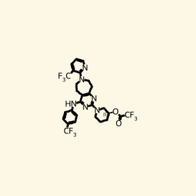 O=C(O[C@H]1CCCN(c2nc3c(c(Nc4ccc(C(F)(F)F)cc4)n2)CCN(c2ncccc2C(F)(F)F)CC3)C1)C(F)(F)F